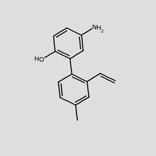 C=Cc1cc(C)ccc1-c1cc(N)ccc1O